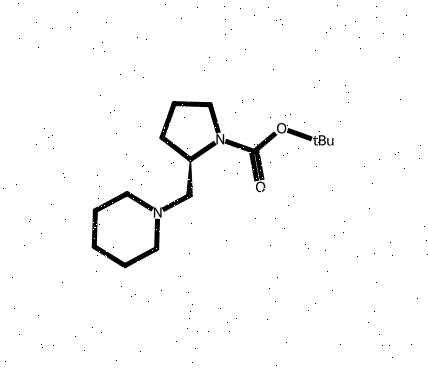 CC(C)(C)OC(=O)N1CCC[C@@H]1CN1CCCCC1